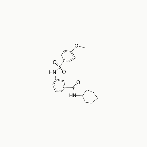 COc1ccc(S(=O)(=O)Nc2cccc(C(=O)NC3CCCCC3)c2)cc1